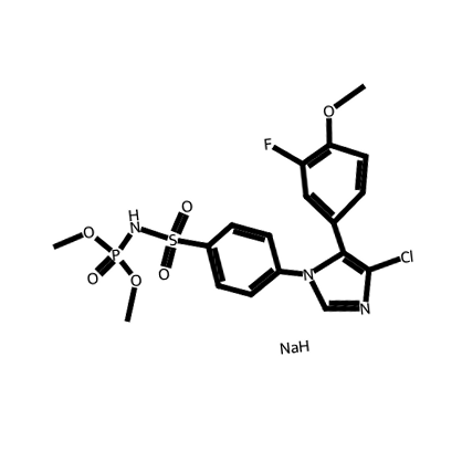 COc1ccc(-c2c(Cl)ncn2-c2ccc(S(=O)(=O)NP(=O)(OC)OC)cc2)cc1F.[NaH]